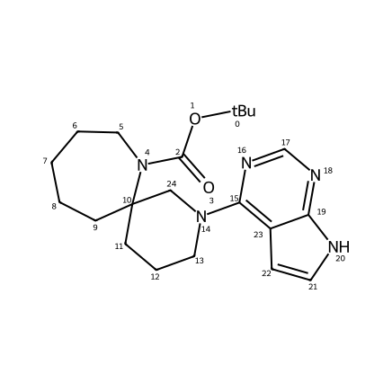 CC(C)(C)OC(=O)N1CCCCCC12CCCN(c1ncnc3[nH]ccc13)C2